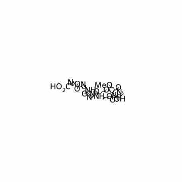 C=CCOC(=O)N1c2cc(OCCCC(=O)Nc3cn(C)c(C(=O)Nc4cc(C(=O)Oc5cc(C(=O)O)n(C)c5)n(C)c4)n3)c(OC)cc2C(=O)N2CCC[C@H]2C1O